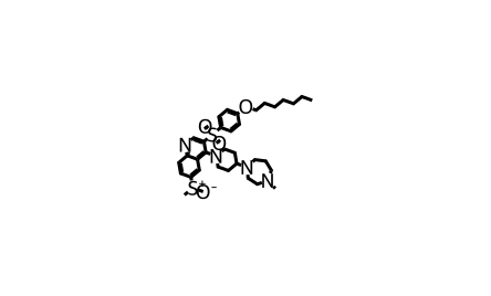 CCCCCCCOc1ccc(S(=O)(=O)c2cnc3ccc([S+](C)[O-])cc3c2N2CCC(N3CCCN(C)CC3)CC2)cc1